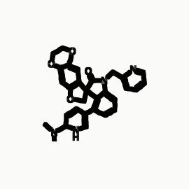 CN(C)C1C=CC(c2cccc3c2C2(COc4cc5c(cc42)OCCO5)C(=O)N3Cc2ccccn2)=CN1